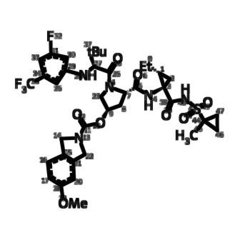 CC[C@@H]1C[C@]1(NC(=O)[C@@H]1C[C@@H](OC(=O)N2Cc3ccc(OC)cc3C2)CN1C(=O)[C@@H](Nc1cc(F)cc(C(F)(F)F)c1)C(C)(C)C)C(=O)NS(=O)(=O)C1(C)CC1